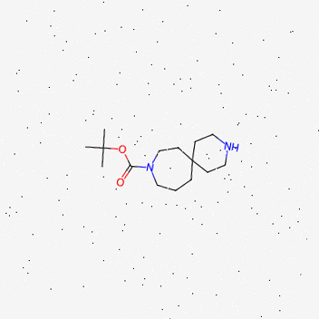 CC(C)(C)OC(=O)N1CCCC2(CCNCC2)CC1